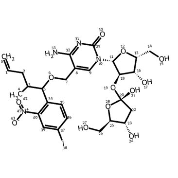 C=CCC(C)C(OCc1cn([C@@H]2O[C@H](CO)[C@H](O)[C@H]2O[C@]2(O)C[C@H](O)[C@@H](CO)O2)c(=O)nc1N)c1ccc(I)cc1[N+](=O)[O-]